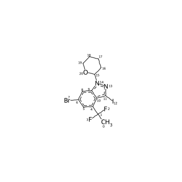 CC(F)(F)c1cc(Br)cc2c1c(I)nn2C1CCCCO1